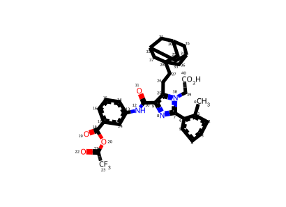 Cc1ccccc1-c1nc(C(=O)Nc2cccc(C(=O)OC(=O)C(F)(F)F)c2)c(CCC23CC4CC(CC(C4)C2)C3)n1CC(=O)O